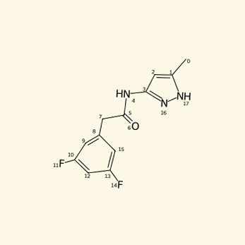 Cc1cc(NC(=O)Cc2cc(F)cc(F)c2)n[nH]1